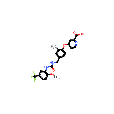 COc1ccc(C(F)(F)F)cc1NC(=O)NCc1ccc(Oc2ccnc(C(=O)O)c2)c(C)c1